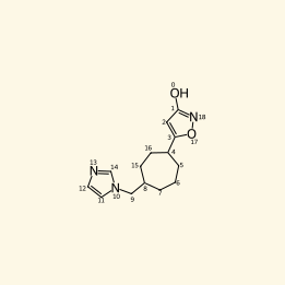 Oc1cc(C2CCCC(Cn3ccnc3)CC2)on1